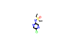 CCS(=O)(CC)=Nc1cnc(Cl)cn1